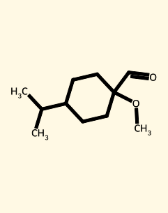 COC1(C=O)CCC(C(C)C)CC1